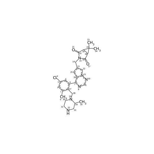 Cc1cc(Cl)cc(-c2ncnn3cc(CN4C(=O)C5C(C4=O)C5(C)C)cc23)c1CN1CCNCC1C